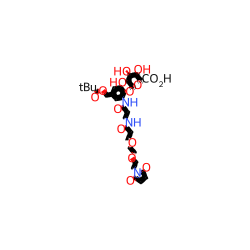 CC(C)(C)C(=O)OCc1ccc(O[C@@H]2O[C@H](C(=O)O)[C@H](O)[C@H](O)[C@@H]2O)c(NC(=O)CCNC(=O)CCOCCOCCN2C(=O)C=CC2=O)c1